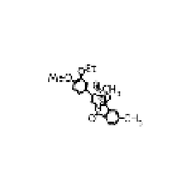 CCOc1cc(C(CN2C(=O)c3ccc(C)cc3C2=O)S(C)(=O)=O)ccc1OC